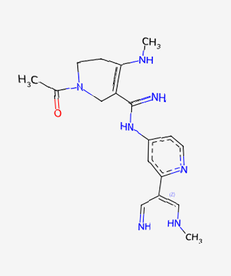 CN/C=C(\C=N)c1cc(NC(=N)C2=C(NC)CCN(C(C)=O)C2)ccn1